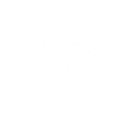 CS(=O)(=O)OC(=O)c1cc(C(=O)NCC(=O)O)ccc1-c1ccccc1C(=O)Nc1ccc(C(=N)N)cc1